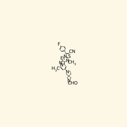 CCc1nn2c(C)cc(N3CCC4(CN(C=O)C4)C3)cc2c1N(C)c1nc(-c2ccc(F)cc2)c(C#N)s1